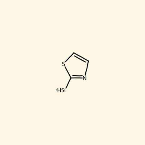 [SiH]c1nccs1